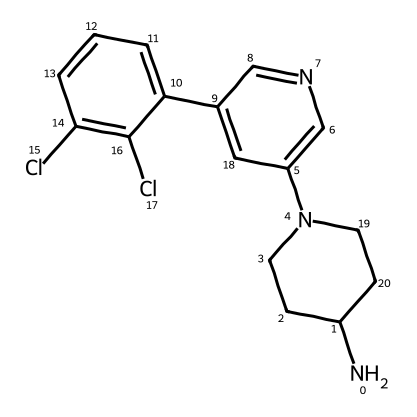 NC1CCN(c2cncc(-c3cccc(Cl)c3Cl)c2)CC1